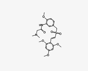 COc1cc(OC)c(/C=C/S(=O)(=O)Cc2ccc(OC)c(NC(=O)CN(C)C)c2)c(OC)c1